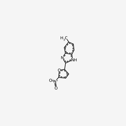 Cc1ccc2[nH]c(-c3ccc([N+](=O)[O-])o3)nc2c1